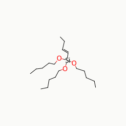 CCC=C[Si](OCCCCC)(OCCCCC)OCCCCC